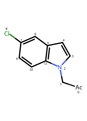 CC(=O)Cn1ccc2cc(Cl)ccc21